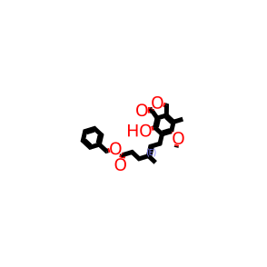 COc1c(C)c2c(c(O)c1C/C=C(\C)CCC(=O)OCc1ccccc1)C(=O)OC2